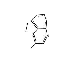 CC.Cc1cnc2ccccc2n1